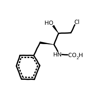 O=C(O)N[C@@H](Cc1ccccc1)[C@@H](O)CCl